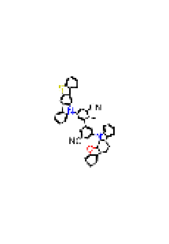 C[C@H]1C(c2cc(C#N)cc(-n3c4c(c5ccccc53)CCC3c5ccccc5OC43)c2)=CC(n2c3ccccc3c3cc4sc5ccccc5c4cc32)=CC1C#N